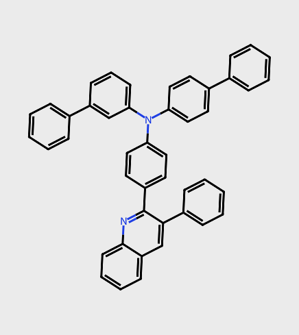 c1ccc(-c2ccc(N(c3ccc(-c4nc5ccccc5cc4-c4ccccc4)cc3)c3cccc(-c4ccccc4)c3)cc2)cc1